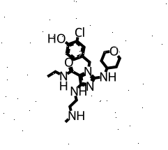 CCNC(=O)c1c(NCCNC)nc(NC2CCOCC2)n1Cc1ccc(O)c(Cl)c1